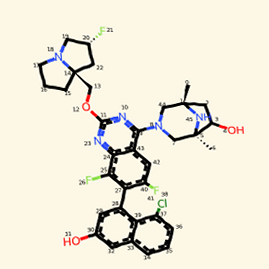 C[C@]12CC(O)[C@@](C)(CN(c3nc(OC[C@@]45CCCN4C[C@H](F)C5)nc4c(F)c(-c5cc(O)cc6cccc(Cl)c56)c(F)cc34)C1)N2